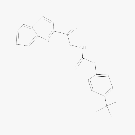 O=C(NNC(=S)Nc1ccc(C(F)(F)F)cc1)c1ccc2ccccc2n1